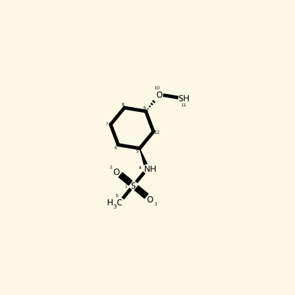 CS(=O)(=O)N[C@H]1CCC[C@H](OS)C1